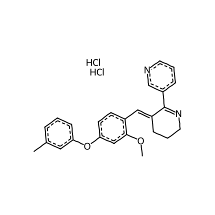 COc1cc(Oc2cccc(C)c2)ccc1C=C1CCCN=C1c1cccnc1.Cl.Cl